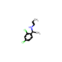 C/C=C/NC(C)c1ccc(Cl)cc1Cl